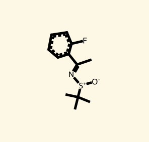 C/C(=N\[S+]([O-])C(C)(C)C)c1ccccc1F